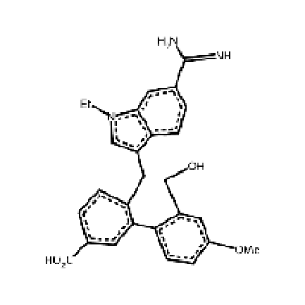 CCn1cc(Cc2ccc(C(=O)O)cc2-c2ccc(OC)cc2CO)c2ccc(C(=N)N)cc21